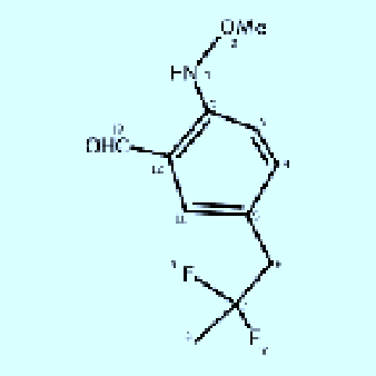 CONc1ccc(CC(C)(F)F)cc1C=O